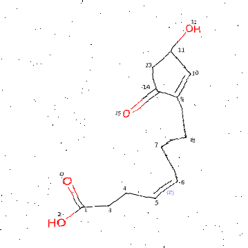 O=C(O)CC/C=C\CCC1=CC(O)CC1=O